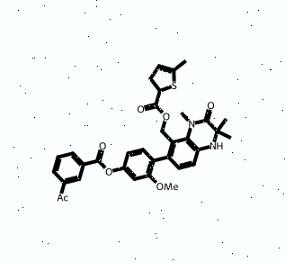 COc1cc(OC(=O)c2cccc(C(C)=O)c2)ccc1-c1ccc2c(c1COC(=O)C1CC=C(C)S1)N(C)C(=O)C(C)(C)N2